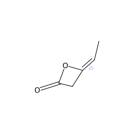 C/C=C1/CC(=O)O1